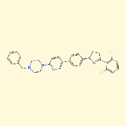 Fc1cccc(F)c1C1=NC(c2ccc(-c3ccc(N4CCN(Cc5ccccc5)CC4)nc3)cc2)CC1